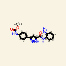 CC(C)(C)OC(=O)Nc1ccc(-c2cc(C(=O)Nc3ccccc3N)[nH]n2)cc1